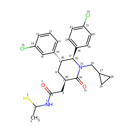 CC(S)NC(=O)C[C@H]1C[C@H](c2cccc(Cl)c2)[C@@H](c2ccc(Cl)cc2)N(CC2CC2)C1=O